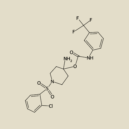 NC1(OC(=O)Nc2cccc(C(F)(F)F)c2)CCN(S(=O)(=O)c2ccccc2Cl)CC1